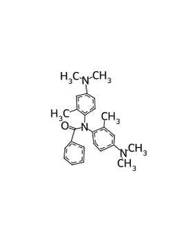 Cc1cc(N(C)C)ccc1N(C(=O)c1ccccc1)c1ccc(N(C)C)cc1C